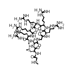 CNCC(=O)N[C@@H](CSC)C(=O)N[C@@H](C)C(=O)NCC(=O)N[C@H](CCCNC(=N)N)C(=O)N[C@H](CCCNC(=N)N)C(=O)N[C@H](CCCNC(=N)N)C(=O)N[C@H](CCCNC(=N)N)C(=O)N[C@H](CCCNC(=N)N)C(=O)NC